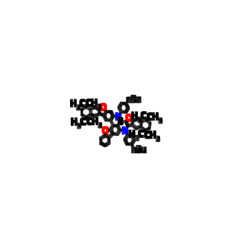 CCCCc1ccc(N2B3c4oc5cc6c(cc5c4N(c4ccc(CCCC)cc4)c4cc5c(oc7ccccc75)c(c43)-c3cc4c(cc32)oc2cc3c(cc24)C(C)(C)CCC3(C)C)C(C)(C)CCC6(C)C)cc1